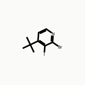 CC(C)(C)c1ccnc(Br)c1I